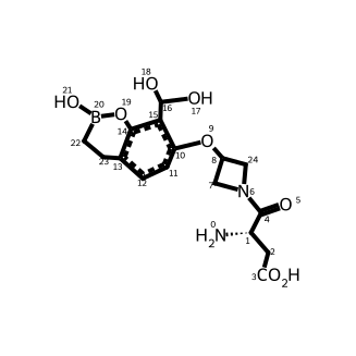 N[C@@H](CC(=O)O)C(=O)N1CC(Oc2ccc3c(c2C(O)O)OB(O)CC3)C1